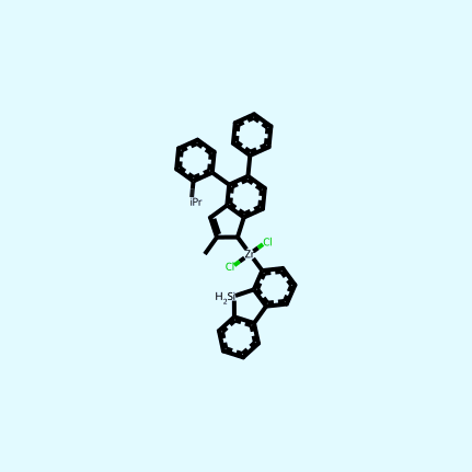 CC1=Cc2c(ccc(-c3ccccc3)c2-c2ccccc2C(C)C)[CH]1[Zr]([Cl])([Cl])[c]1cccc2c1[SiH2]c1ccccc1-2